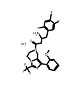 COc1ccccc1-c1nc(C(F)(F)F)n2c1CN(C(=O)CC(N)Cc1cc(F)c(F)cc1F)CC2.Cl